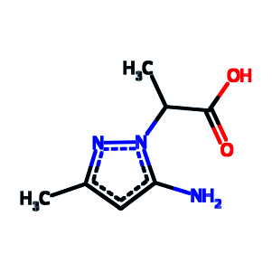 Cc1cc(N)n(C(C)C(=O)O)n1